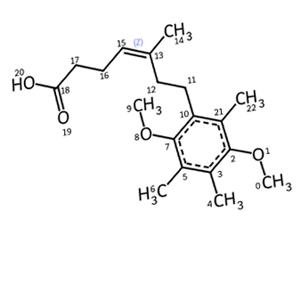 COc1c(C)c(C)c(OC)c(CC/C(C)=C\CCC(=O)O)c1C